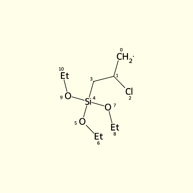 [CH2]C(Cl)C[Si](OCC)(OCC)OCC